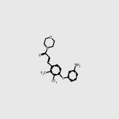 Nc1cccc(Sc2ccc(C=CC(=O)N3CCOCC3)c(C(F)(F)F)c2C(F)(F)F)c1